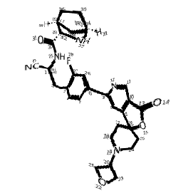 N#C[C@H](Cc1ccc(-c2cc3c(cn2)C(=O)OC32CCN(C3COC3)CC2)cc1F)NC(=O)[C@H]1N[C@@H]2CC[C@H]1C2